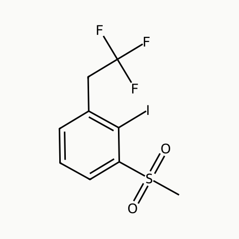 CS(=O)(=O)c1cccc(CC(F)(F)F)c1I